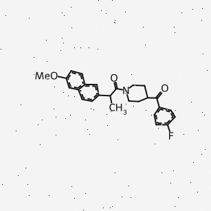 COc1ccc2cc(C(C)C(=O)N3CCC(C(=O)c4ccc(F)cc4)CC3)ccc2c1